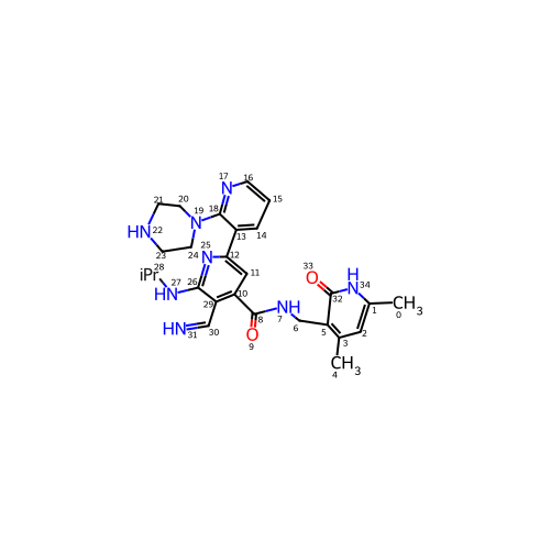 Cc1cc(C)c(CNC(=O)c2cc(-c3cccnc3N3CCNCC3)nc(NC(C)C)c2C=N)c(=O)[nH]1